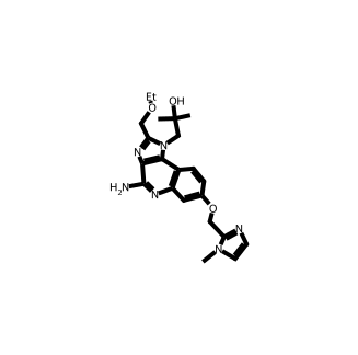 CCOCc1nc2c(N)nc3cc(OCc4nccn4C)ccc3c2n1CC(C)(C)O